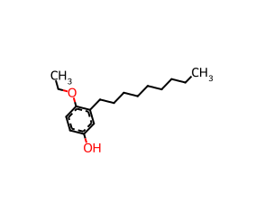 CCCCCCCCCc1cc(O)ccc1OCC